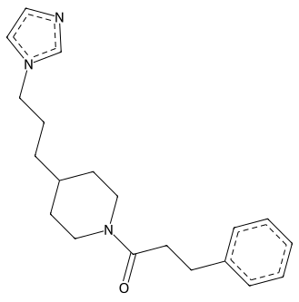 O=C(CCc1ccccc1)N1CCC(CCCn2ccnc2)CC1